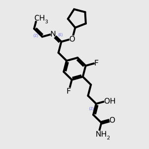 C/C=C\N=C(/Cc1cc(F)c(CC/C(O)=C/C(N)=O)c(F)c1)OC1CCCC1